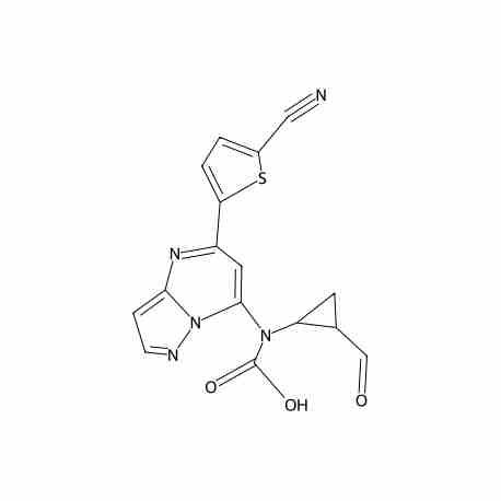 N#Cc1ccc(-c2cc(N(C(=O)O)C3CC3C=O)n3nccc3n2)s1